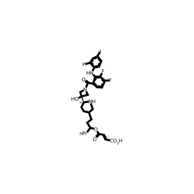 CCCC(CCC1CC[C@@H](C2(O)CN(C(=O)c3ccc(F)c(F)c3Nc3ccc(I)cc3F)C2)NC1)OC(=O)/C=C/C(=O)O